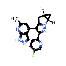 Cc1cc(-c2c(-c3ccc(F)cn3)nn3c2C[C@@H]2C[C@@H]23)c2cn[nH]c2n1